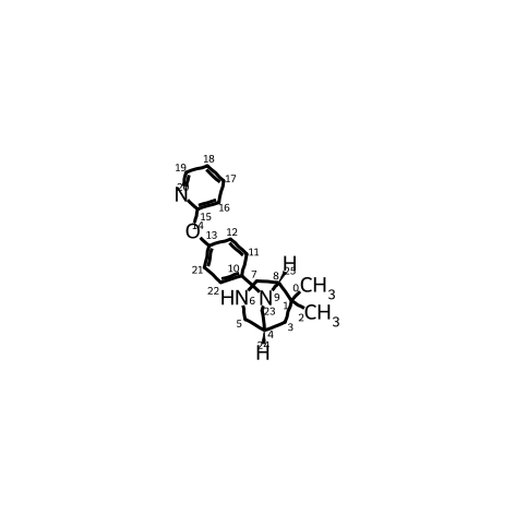 CC1(C)C[C@@H]2CNC[C@H]1N(c1ccc(Oc3ccccn3)cc1)C2